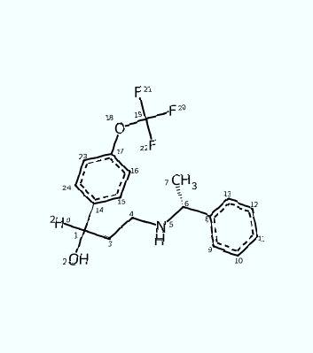 [2H]C(O)(CCN[C@H](C)c1ccccc1)c1ccc(OC(F)(F)F)cc1